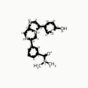 CN(C)C(=O)c1cccc(-c2cn3c(-c4ccc(O)cc4)cnc3cn2)c1